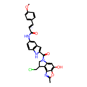 COc1ccc(/C=C/C(=O)Nc2ccc3[nH]c(C(=O)N4CC(CCl)c5c4cc(O)c4oc(C)nc54)cc3c2)cc1